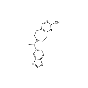 CC(c1ccc2scnc2c1)N1CCc2cnc(O)nc2CC1